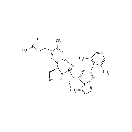 Cc1cccc(C)c1-c1cc([C@H](CC(=O)O)[N+]23CC2=C2C=C(C(F)(F)F)C(CCN(C)C)=CN2[C@H](CC(C)C)C3=O)n2nccc2n1